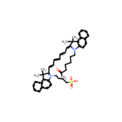 CC(=O)CCCCCN1\C(=C/C=C/C=C/C=C/C2=[N+](CCCCS(=O)(=O)[O-])c3ccc4ccccc4c3C2(C)C)C(C)(C)c2c1ccc1ccccc21